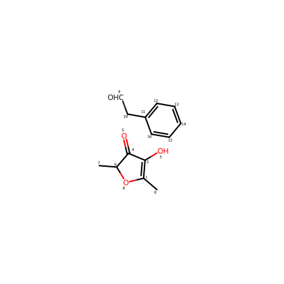 CC1=C(O)C(=O)C(C)O1.O=CCc1ccccc1